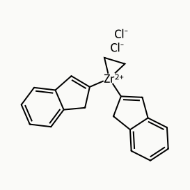 C1=[C]([Zr+2]2([C]3=Cc4ccccc4C3)[CH2][CH2]2)Cc2ccccc21.[Cl-].[Cl-]